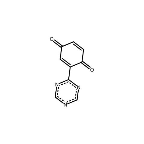 O=C1C=CC(=O)C(c2ncncn2)=C1